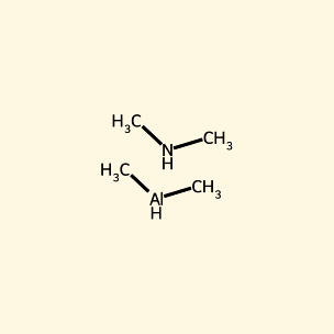 CNC.[CH3][AlH][CH3]